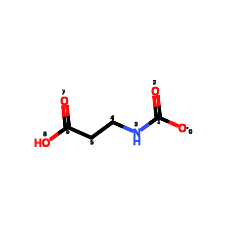 [O]C(=O)NCCC(=O)O